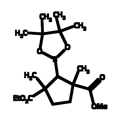 CCOC(=O)C1(C)CCC(C)(C(=O)OC)C1B1OC(C)(C)C(C)(C)O1